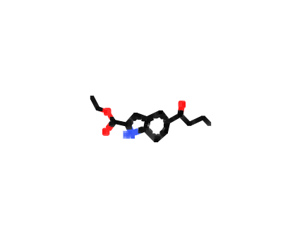 CCCC(=O)c1ccc2[nH]c(C(=O)OCC)cc2c1